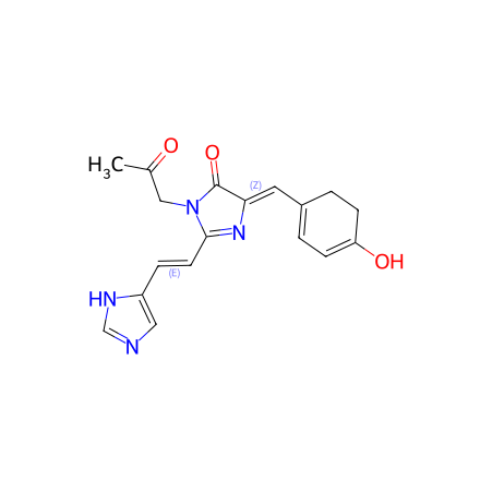 CC(=O)CN1C(=O)/C(=C/C2=CC=C(O)CC2)N=C1/C=C/c1cnc[nH]1